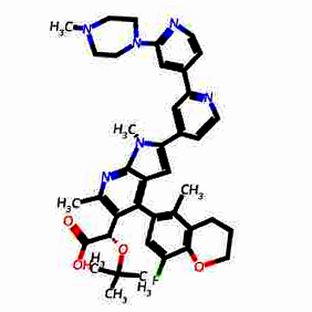 Cc1nc2c(cc(-c3ccnc(-c4ccnc(N5CCN(C)CC5)c4)c3)n2C)c(-c2cc(F)c3c(c2C)CCCO3)c1[C@H](OC(C)(C)C)C(=O)O